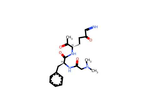 CC(=O)[C@H](CCC(=O)C=N)NC(=O)[C@H](Cc1ccccc1)NC(=O)CN(C)C